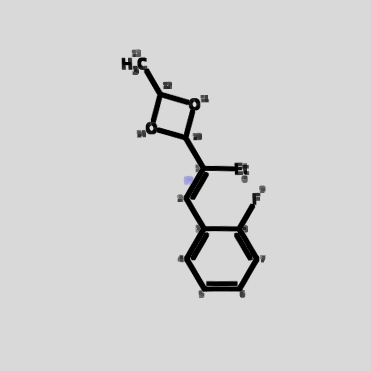 CC/C(=C\c1ccccc1F)C1OC(C)O1